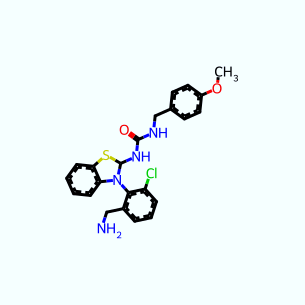 COc1ccc(CNC(=O)NC2Sc3ccccc3N2c2c(Cl)cccc2CN)cc1